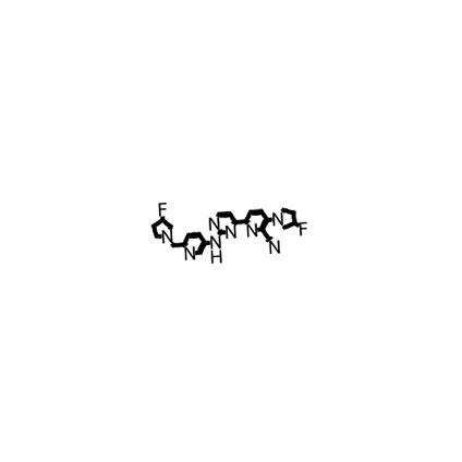 N#Cc1nc(-c2ccnc(Nc3ccc(CN4CCC(F)C4)nc3)n2)ccc1N1CCC(F)C1